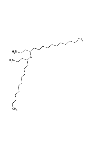 CCCCCCCCCCCC(CCN)OC(CCN)CCCCCCCCCCC